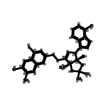 CC1(C)O[C@H]2[C@H](n3ccc4c(Cl)ncnc43)C=C(CCc3cc(F)c4cc(Cl)c(N)nc4c3)[C@@]2(C)O1